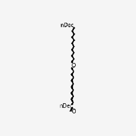 C1CO1.CCCCCCCCCCCCCCCCCCCCCCOCCCCCCCCCCCCCCCCCCCCCC